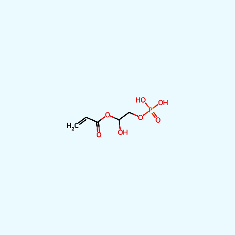 C=CC(=O)OC(O)COP(=O)(O)O